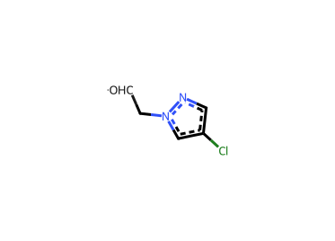 O=[C]Cn1cc(Cl)cn1